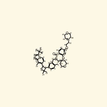 Cc1ccc(C2C(c3ccn4c(C(F)(F)F)nnc4c3C)SC2(C)C)cc1CN1CC2(CCOCC2)Oc2nc(OCCN3CCOCC3)ccc2[S+]1[O-]